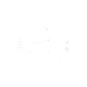 OC1(c2cccs2)CCC=CO1